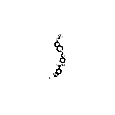 Cc1nc2cc(C(=O)N[C@H]3CC[C@](F)(CCN4CCc5ccc(OCC(F)(F)F)nc5CC4)CC3)ccc2s1